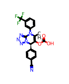 CC1=C(OC(=O)O)[C@@H](c2ccc(C#N)cc2)n2nnnc2N1c1cccc(C(F)(F)F)c1